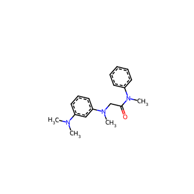 CN(C)c1cccc(N(C)CC(=O)N(C)c2ccccc2)c1